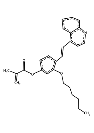 C=C(C)C(=O)Oc1ccc(C=Cc2ccnc3ccccc23)c(OCCCCCC)c1